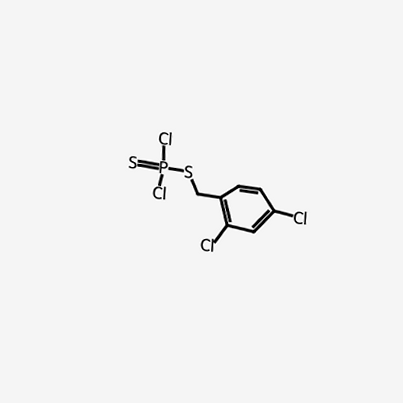 S=P(Cl)(Cl)SCc1ccc(Cl)cc1Cl